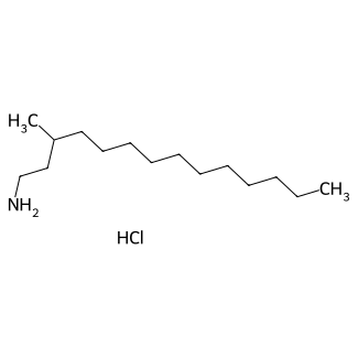 CCCCCCCCCCCC(C)CCN.Cl